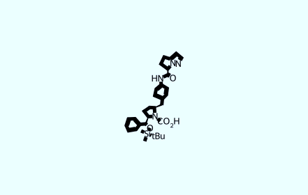 CC(C)(C)[Si](C)(C)OC(c1ccccc1)[C@H]1CC[C@@H](Cc2ccc(NC(=O)[C@H]3CCc4ccnn43)cc2)N1C(=O)O